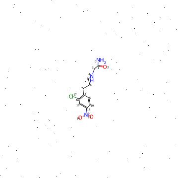 NC(=O)CNCCCc1ccc([N+](=O)[O-])cc1Cl